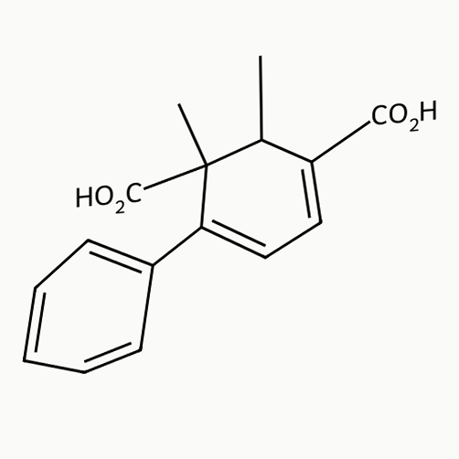 CC1C(C(=O)O)=CC=C(c2ccccc2)C1(C)C(=O)O